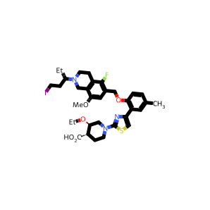 CCO[C@@H]1CN(c2nc(-c3cc(C)ccc3OCc3cc(OC)c4c(c3F)CCN(C(CC)CCI)C4)cs2)CC[C@@H]1C(=O)O